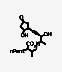 CCCCCC(C(=O)O)C(C)CCC(C)C(O)C#CC1=CC(=O)CC1O